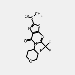 C[S+]([O-])c1nc2c(=O)n(C3CCOCC3)c(C(F)(F)F)nc2s1